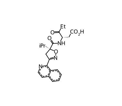 CCC(=O)[C@H](CC(=O)O)NC(=O)[C@]1(C(C)C)CC(c2nccc3ccccc23)=NO1